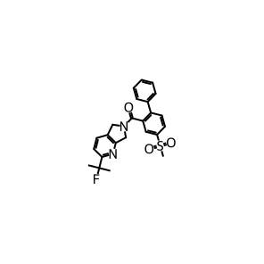 CC(C)(F)c1ccc2c(n1)CN(C(=O)c1cc(S(C)(=O)=O)ccc1-c1ccccc1)C2